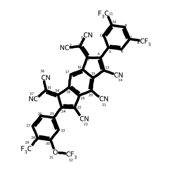 N#CC(C#N)=C1C(c2cc(C(F)(F)F)cc(C(F)(F)F)c2)=C(C#N)c2c1cc1c(c2C#N)C(C#N)=C(c2ccc(C(F)(F)F)c(OC(F)(F)F)c2)C1=C(C#N)C#N